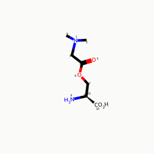 CN(C)CC(=O)OC[C@H](N)C(=O)O